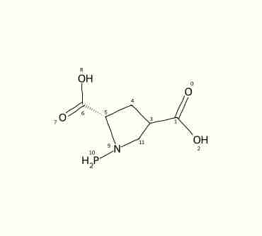 O=C(O)C1C[C@@H](C(=O)O)N(P)C1